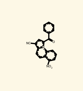 N#Cc1cc(C(=O)c2ccccc2)n2c1ccc1c([N+](=O)[O-])cccc12